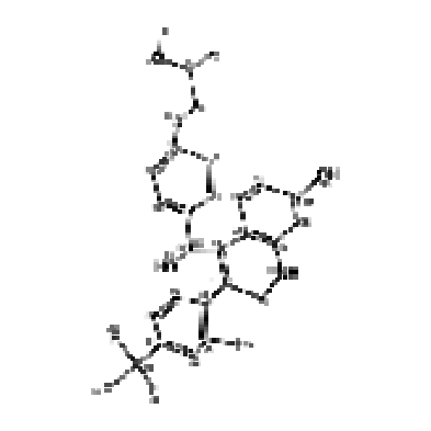 COC(C)COc1ccc([C@@H](O)C2=C(c3ccc(C(F)(F)F)cc3F)CNc3cc(O)ccc32)cc1